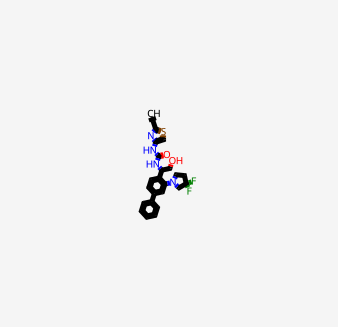 C#Cc1nc(NC(=O)NC(CO)c2ccc(-c3ccccc3)cc2N2CCC(F)(F)C2)cs1